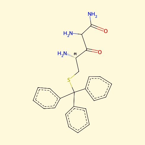 NC(=O)C(N)C(=O)[C@@H](N)CSC(c1ccccc1)(c1ccccc1)c1ccccc1